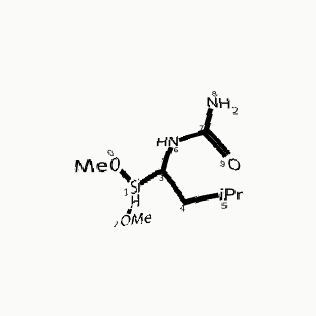 CO[SiH](OC)C(CC(C)C)NC(N)=O